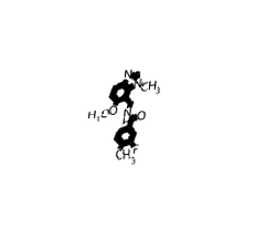 COc1ccc2ncn(C)c2c1CNC(=O)c1ccc(C)c(F)c1